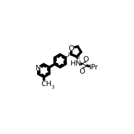 Cc1cncc(-c2ccc([C@@H]3OCC[C@@H]3NS(=O)(=O)C(C)C)cc2)c1